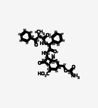 CN(C(=O)NC(C(=O)NC1C(=O)N2C(C(=O)O)=CC(COC(N)=O)S[C@H]12)c1ccccc1)C(=O)c1ccccc1